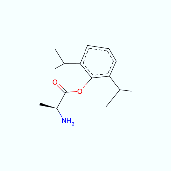 CC(C)c1cccc(C(C)C)c1OC(=O)[C@H](C)N